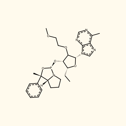 CC[C@H]1O[C@@H](n2cnc3c(C)ncnc32)C(OCCOC)[C@H]1O[P@]1O[C@@](C)(c2ccccc2)[C@H]2CCCN21